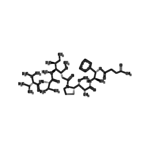 CC[C@H](C)[C@@H]([C@@H](CC(=O)N1CCC[C@H]1[C@H](OC)[C@@H](C)C(=O)N[C@H](C)[C@@H](OC(=O)CCC(C)=O)c1ccccc1)OC)N(C)C(=O)[C@@H](NC(=O)[C@H](C(C)C)N(C)C)C(C)C